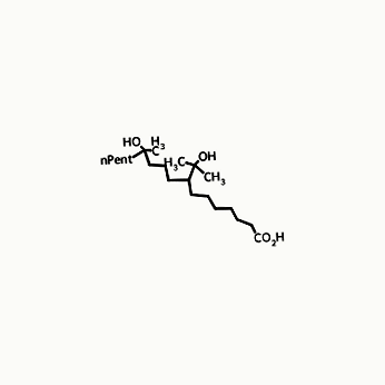 CCCCCC(C)(O)CCCC(CCCCCCC(=O)O)C(C)(C)O